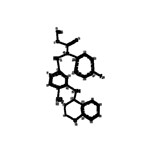 CC(C)(C)OC(=O)N(Nc1ncc([N+](=O)[O-])c(NC2CCOc3ccccc32)n1)c1ccc(F)cc1